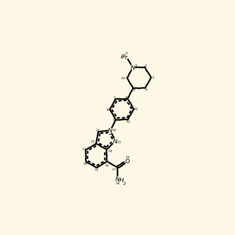 CC(C)N1CCCC(c2ccc(-n3cc4cccc(C(N)=O)c4n3)cc2)C1